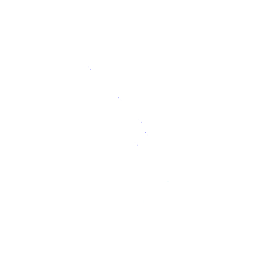 Cc1cc(NC(=O)c2nnn(-c3ccc(F)c(F)c3)c2C)ccn1